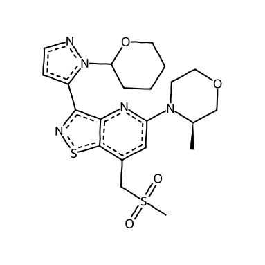 C[C@@H]1COCCN1c1cc(CS(C)(=O)=O)c2snc(-c3ccnn3C3CCCCO3)c2n1